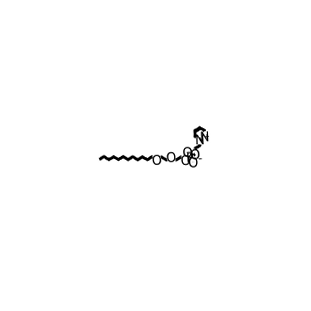 CCCCCCCCCCCCOCCOCCOP(=O)([O-])OCC[n+]1ccccn1